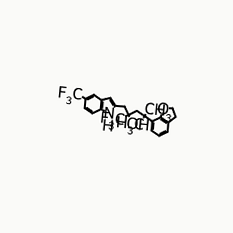 CC(C)(CC(O)(Cc1cc2cc(C(F)(F)F)ccc2[nH]1)C(F)(F)F)c1cccc2c1OCC2